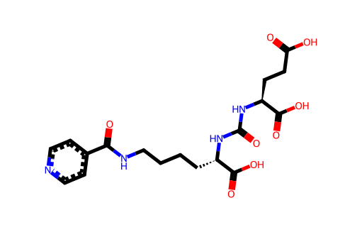 O=C(O)CC[C@H](NC(=O)N[C@@H](CCCCNC(=O)c1ccncc1)C(=O)O)C(=O)O